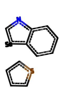 c1ccc2[se]cnc2c1.c1ccsc1